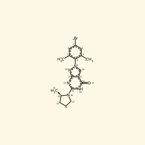 Cc1cc(Br)cc(C)c1-n1cc2c(=O)[nH]c(N3CCC[C@H]3C)nc2n1